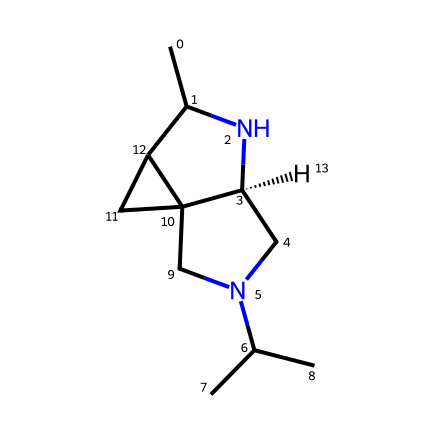 CC1N[C@H]2CN(C(C)C)CC23CC13